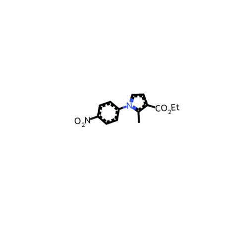 CCOC(=O)c1ccn(-c2ccc([N+](=O)[O-])cc2)c1C